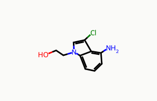 Nc1cccc2c1c(Cl)cn2CCO